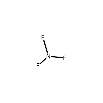 FN(F)F